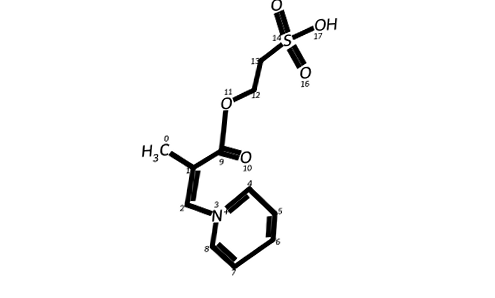 CC(=C[n+]1ccccc1)C(=O)OCCS(=O)(=O)O